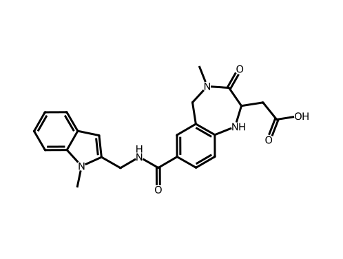 CN1Cc2cc(C(=O)NCc3cc4ccccc4n3C)ccc2NC(CC(=O)O)C1=O